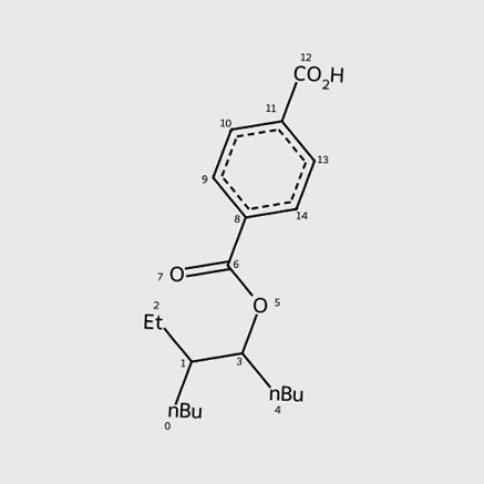 CCCCC(CC)C(CCCC)OC(=O)c1ccc(C(=O)O)cc1